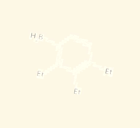 Bc1ccc(CC)c(CC)c1CC